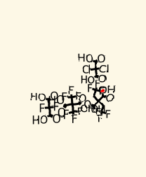 O=C(O)C(C(=O)O)(C(F)(F)F)C(F)(F)F.O=C(O)C(CC(F)(F)F)(CC(F)(F)F)C(=O)O.O=C(O)C(Cl)(Cl)C(=O)O.O=C(O)C(F)(F)C(=O)O